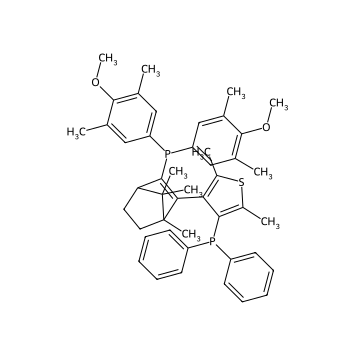 COc1c(C)cc(P(C2=C(c3c(C)sc(C)c3P(c3ccccc3)c3ccccc3)C3(C)CCC2C3(C)C)c2cc(C)c(OC)c(C)c2)cc1C